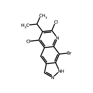 CC(C)c1c(Cl)nc2c(Br)c3[nH]ncc3cc2c1Cl